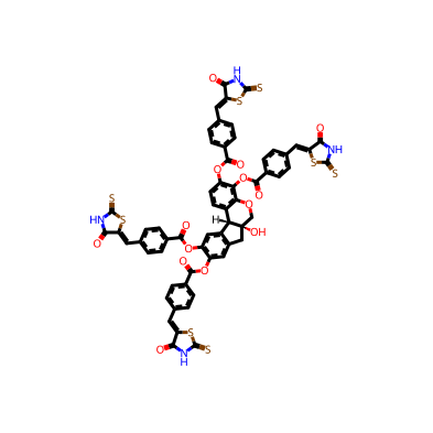 O=C1NC(=S)S/C1=C\c1ccc(C(=O)Oc2cc3c(cc2OC(=O)c2ccc(/C=C4\SC(=S)NC4=O)cc2)[C@@H]2c4ccc(OC(=O)c5ccc(/C=C6\SC(=S)NC6=O)cc5)c(OC(=O)c5ccc(/C=C6\SC(=S)NC6=O)cc5)c4OC[C@]2(O)C3)cc1